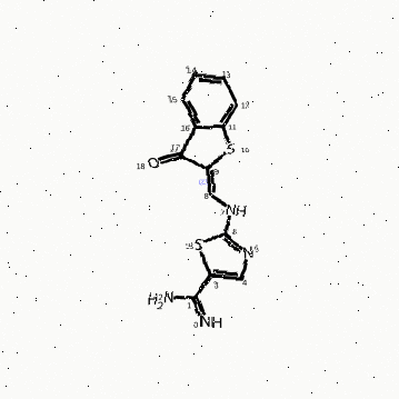 N=C(N)c1cnc(N/C=C2\Sc3ccccc3C2=O)s1